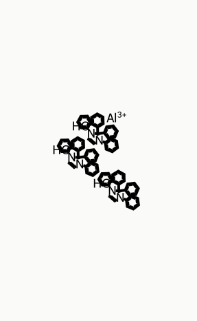 Oc1ccccc1C1(c2ccccc2)N(c2ccccc2)C=CN1c1ccccc1.Oc1ccccc1C1(c2ccccc2)N(c2ccccc2)C=CN1c1ccccc1.Oc1ccccc1C1(c2ccccc2)N(c2ccccc2)C=CN1c1ccccc1.[Al+3]